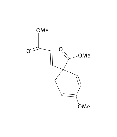 COC(=O)/C=C/C1(C(=O)OC)C=CC(OC)=CC1